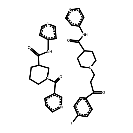 O=C(CCN1CCC(C(=O)Nc2ccncc2)CC1)c1ccc(F)cc1.O=C(Nc1ccncc1)C1CCCN(C(=O)c2cccnc2)C1